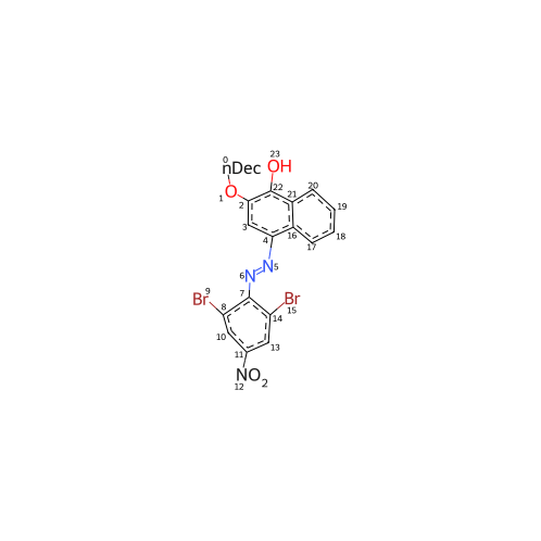 CCCCCCCCCCOc1cc(N=Nc2c(Br)cc([N+](=O)[O-])cc2Br)c2ccccc2c1O